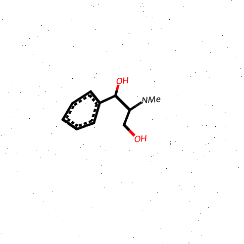 [CH2]NC(CO)C(O)c1ccccc1